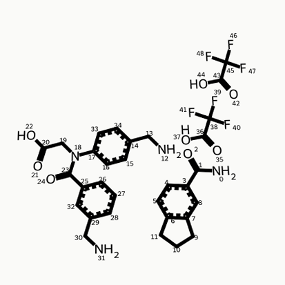 NC(=O)c1ccc2c(c1)CCC2.NCc1ccc(N(CC(=O)O)C(=O)c2cccc(CN)c2)cc1.O=C(O)C(F)(F)F.O=C(O)C(F)(F)F